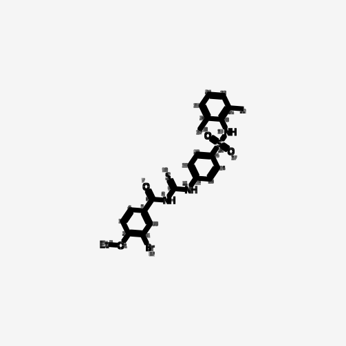 CCOc1ccc(C(=O)NC(=S)Nc2ccc(S(=O)(=O)Nc3c(C)cccc3C)cc2)cc1Br